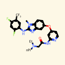 CCCN(CC)CC(=O)Nc1cc(Oc2ccc3c(c2)nc(Nc2cc(C(F)(F)F)c(F)cc2F)n3C)ccn1